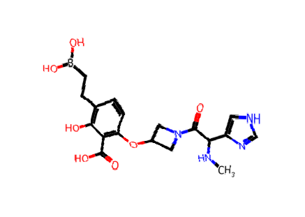 CNC(C(=O)N1CC(Oc2ccc(CCB(O)O)c(O)c2C(=O)O)C1)c1c[nH]cn1